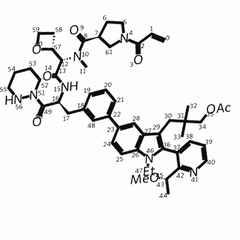 C=CC(=O)N1CC[C@H](C(=O)N(C)[C@H](C(=O)N[C@@H](Cc2cccc(-c3ccc4c(c3)c(CC(C)(C)COC(C)=O)c(-c3cccnc3[C@H](C)OC)n4CC)c2)C(=O)N2CCCCN2)[C@H]2CCO2)C1